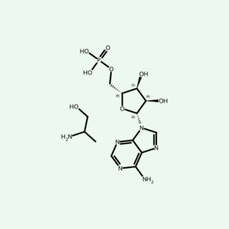 CC(N)CO.Nc1ncnc2c1ncn2[C@@H]1O[C@H](COP(=O)(O)O)[C@@H](O)[C@H]1O